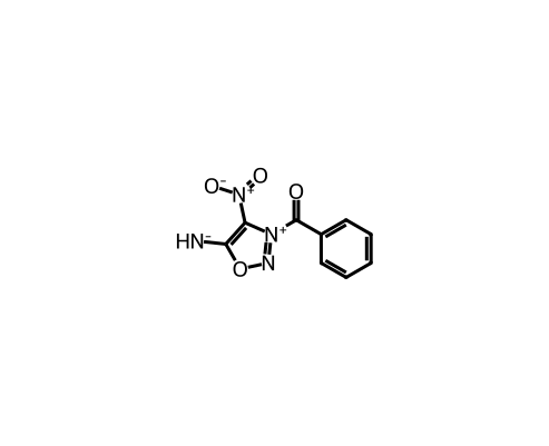 [NH-]c1on[n+](C(=O)c2ccccc2)c1[N+](=O)[O-]